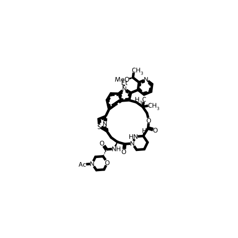 CCn1c(-c2cccnc2[C@H](C)OC)c2c3cc(ccc31)-c1csc(n1)C[C@H](NC(=O)[C@H]1CN(C(C)=O)CCO1)C(=O)N1CCC[C@H](N1)C(=O)OCC(C)(C)C2